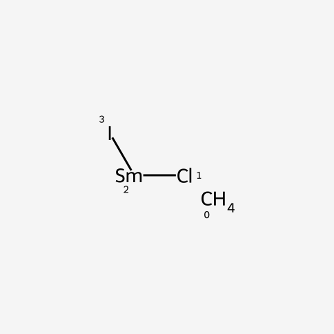 C.[Cl][Sm][I]